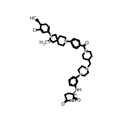 C#CC1CC=C(N2CC3(CCN(c4ccc(C(=O)N5CCC(CN6CCN(c7cccc(N[C@@H]8CCC(=O)NC8=O)c7)CC6)CC5)cc4)CC3)C[C@H]2C)C=C1Cl